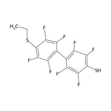 CCSc1c(F)c(F)c(-c2c(F)c(F)c(S)c(F)c2F)c(F)c1F